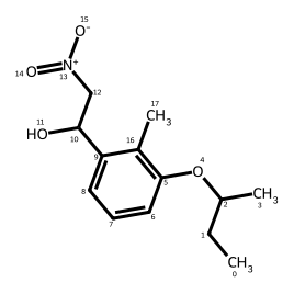 CCC(C)Oc1cccc(C(O)C[N+](=O)[O-])c1C